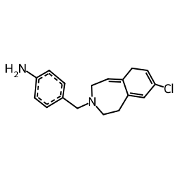 Nc1ccc(CN2CC=C3CC=C(Cl)C=C3CC2)cc1